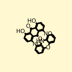 O=C1c2c(O)ccc([N+](=O)[O-])c2C(=O)c2c([N+](=O)[O-])ccc(O)c21.c1ccc2c(c1)Nc1ccccc1O2